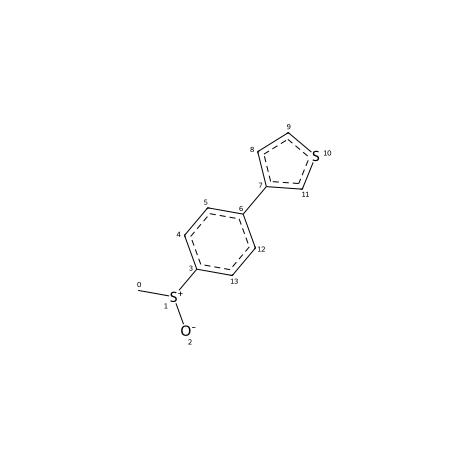 C[S+]([O-])c1ccc(-c2ccsc2)cc1